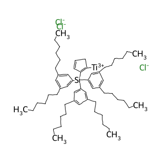 CCCCCCc1cc(CCCCCC)cc([Si](C2=[C]([Ti+3])CC=C2)(c2cc(CCCCCC)cc(CCCCCC)c2)c2cc(CCCCCC)cc(CCCCCC)c2)c1.[Cl-].[Cl-].[Cl-]